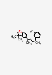 CC(C)c1cccc(C(C)CCC(C)c2ccc3c(c2)C(C)(C)CO3)c1